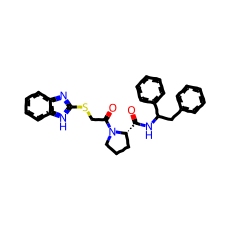 O=C(NC(Cc1ccccc1)c1ccccc1)[C@@H]1CCCN1C(=O)CSc1nc2ccccc2[nH]1